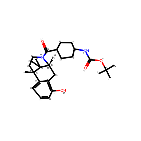 CC(C)(C)OC(=O)NC1CCC(C(=O)N2CC[C@@]3(C)c4cccc(O)c4C[C@@H]2C3(C)C)CC1